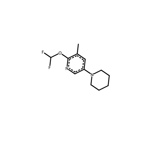 Cc1cc(N2CCCCC2)cnc1OC(F)F